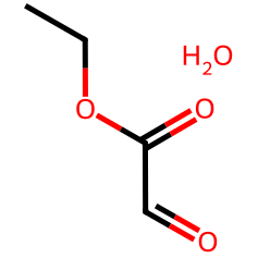 CCOC(=O)C=O.O